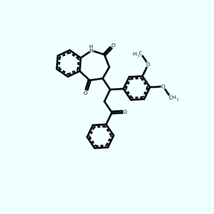 COc1ccc(C(CC(=O)c2ccccc2)C2CC(=O)Nc3ccccc3C2=O)cc1OC